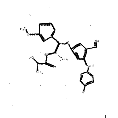 COc1cccc([C@@H](Oc2ccc(Nc3ccc(F)cc3)c(C=N)c2)[C@H](C)NC(=O)[C@@H](C)O)c1